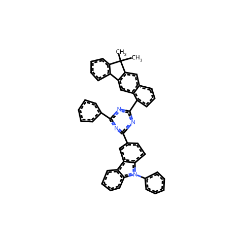 CC1(C)c2ccccc2-c2cc3c(-c4nc(-c5ccccc5)nc(-c5ccc6c(c5)c5ccccc5n6-c5ccccc5)n4)cccc3cc21